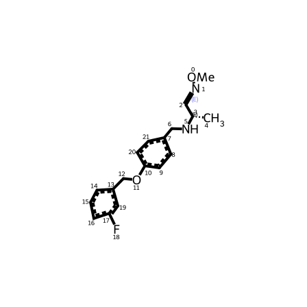 CO/N=C/[C@H](C)NCc1ccc(OCc2cccc(F)c2)cc1